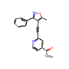 COC(=O)c1ccnc(C#Cc2c(-c3ccccc3)noc2C)c1